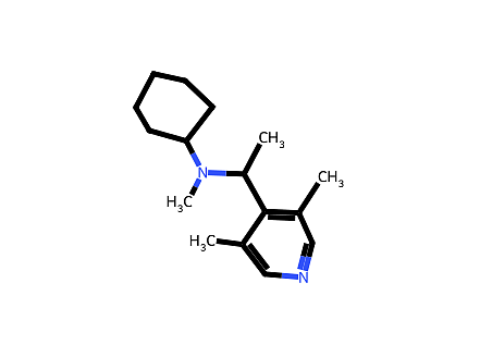 Cc1cncc(C)c1C(C)N(C)C1CCCCC1